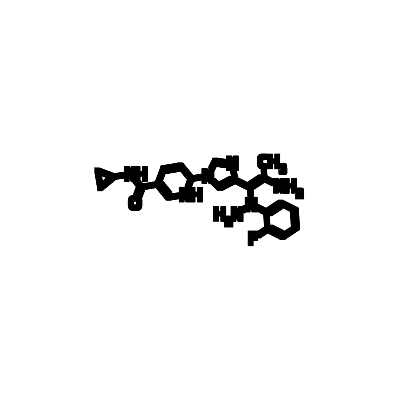 C/C(N)=C(\c1cn(C2C=CC(C(=O)NC3CC3)=CN2)cn1)N(N)c1ccccc1F